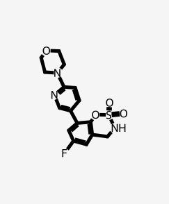 O=S1(=O)NCc2cc(F)cc(-c3ccc(N4CCOCC4)nc3)c2O1